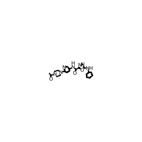 CC(=O)N1CCN(c2ccc(NC(=O)c3nnc(Nc4ccccc4)o3)cn2)CC1